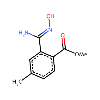 COC(=O)c1ccc(C)cc1C(N)=NO